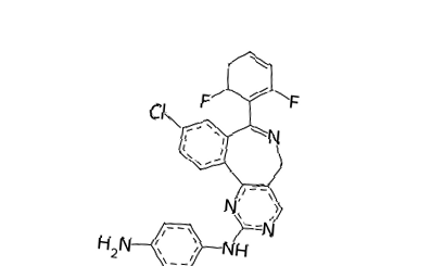 Nc1ccc(Nc2ncc3c(n2)-c2ccc(Cl)cc2C(C2=C(F)C=CCC2F)=NC3)cc1